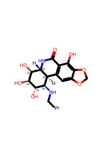 CC(C)CN[C@H]1[C@H](O)[C@@H](O)[C@@H](O)[C@@H]2NC(=O)c3c(cc4c(c3O)OCO4)[C@@H]12